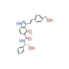 COc1c(C(=O)N[C@H](CO)c2ccccc2)ccc2[nH]nc(/C=C/c3ccc(CO)cc3)c12